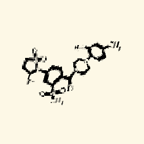 Cc1ccc(N2CCN(C(=O)c3ccc(N4[C@@H](C(C)C)CCS4(=O)=O)cc3S(C)(=O)=O)CC2)c(C)c1